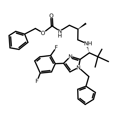 C[C@H](CNC(=O)OCc1ccccc1)CN[C@@H](c1nc(-c2cc(F)ccc2F)cn1Cc1ccccc1)C(C)(C)C